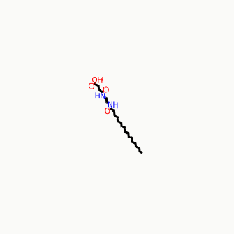 CCCCCCCCC=CCCCCCCCC(=O)NCCNC(=O)CCC(=O)O